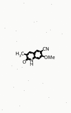 COc1cc2[nH]c(=O)c(C)cc2cc1C#N